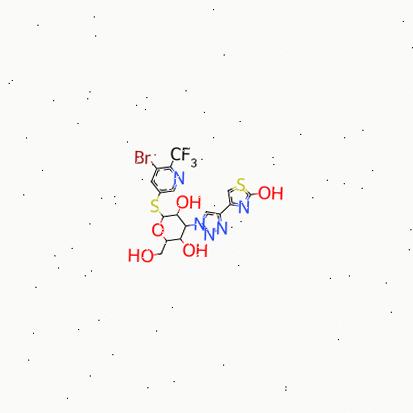 OCC1OC(Sc2cnc(C(F)(F)F)c(Br)c2)C(O)C(n2cc(-c3csc(O)n3)nn2)C1O